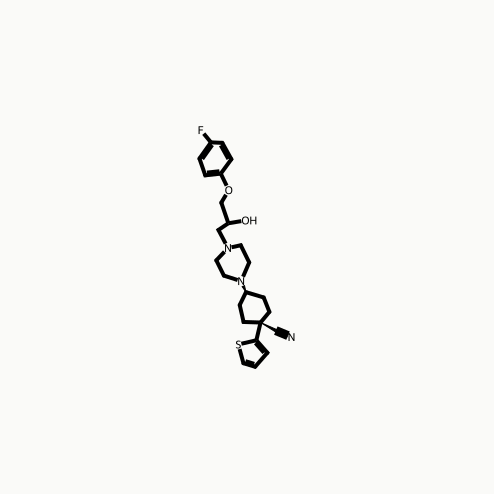 N#C[C@]1(c2cccs2)CC[C@H](N2CCN(CC(O)COc3ccc(F)cc3)CC2)CC1